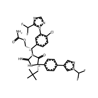 CC(C)(C)C[C@]1(c2ccc(-c3cnn(C(F)F)c3)cc2)NC(=N)N([C@H](COC(N)=O)c2ccc(Cl)c(-n3ncnc3C(F)F)c2)C1=O